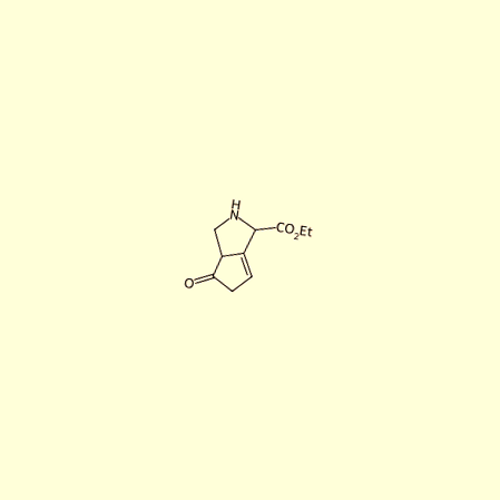 CCOC(=O)C1NCC2C(=O)CC=C21